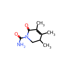 CC1=C(C)C(C)CN(C(N)=O)C1=O